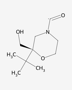 CC(C)(C)[C@]1(CO)CN([C]=O)CCO1